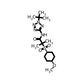 CO[C@H]1CC[C@@H](S(=O)(=O)C(C)(C)C(=O)Nc2nnn(C(C)(C)C)n2)CC1